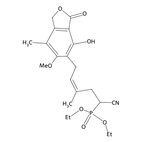 CCOP(=O)(OCC)C(C#N)CC(C)=CCc1c(O)c2c(c(C)c1OC)COC2=O